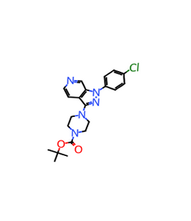 CC(C)(C)OC(=O)N1CCN(c2nn(-c3ccc(Cl)cc3)c3cnccc23)CC1